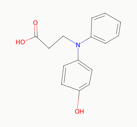 O=C(O)CCN(c1ccccc1)c1ccc(O)cc1